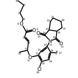 CCCCOC(=O)C=CC(C)Oc1cc(N2C(=O)C3CCCCC3C2=O)c(F)cc1Cl